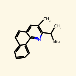 CCCCC(C)c1nc2c(ccc3ccccc32)cc1C